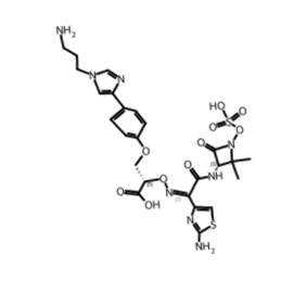 CC1(C)[C@H](NC(=O)/C(=N\O[C@@H](COc2ccc(-c3cn(CCCN)cn3)cc2)C(=O)O)c2csc(N)n2)C(=O)N1OS(=O)(=O)O